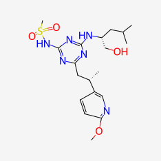 COc1ccc([C@@H](C)Cc2nc(N[C@@H](CO)CC(C)C)nc(NS(C)(=O)=O)n2)cn1